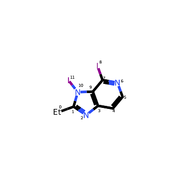 CCc1nc2ccnc(I)c2n1I